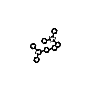 c1ccc(-c2cc(-c3ccc(-c4ccc5cccc(-c6nc(-c7ccccc7)nc(-c7ccccc7)n6)c5c4)cc3)cc(-c3ccccc3)n2)cc1